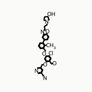 Cc1c(COc2cc(OCc3cncc(C#N)c3)c(C=O)cc2Cl)cccc1-c1ccc2oc(CCN3CC[C@@H](O)C3)nc2c1